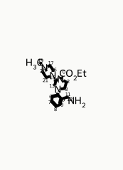 CCOC(=O)N1CCN(c2ccccc2CN)CC1N1CCN(C)CC1